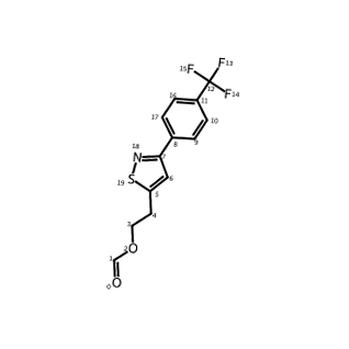 O=COCCc1cc(-c2ccc(C(F)(F)F)cc2)ns1